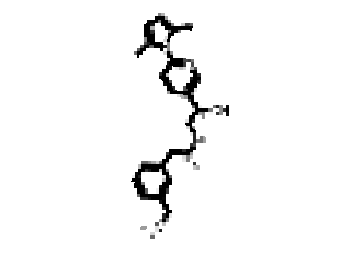 Cc1ccc(C)n1-c1ccc([C@@H](O)CN[C@H](C)Cc2cccc(CN)c2)cn1